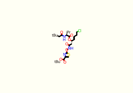 CC(C)[C@H](NC(=O)CC(C)(C)C)C(=O)O[C@H](C=CCCCl)CC(=O)NOc1nc(C(=O)OC(C)(C)C)cs1